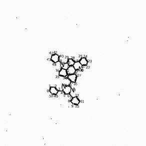 c1ccc(-c2cc(-c3ccccc3)nc(-c3ccc(-c4nc5ccccc5c5ccc6c(c7ccccc7n6-c6ccccc6)c45)cc3)n2)cc1